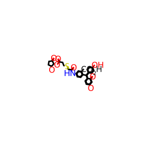 O=C(CSCCC(=O)OC1C(=O)CCC1=O)Nc1ccc(-c2c3ccc(=O)cc-3oc3cc(O)ccc23)c(C(=O)O)c1